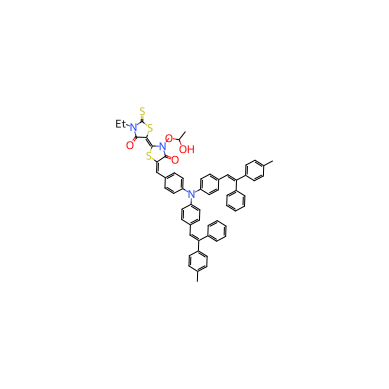 CCN1C(=O)/C(=c2\s/c(=C/c3ccc(N(c4ccc(/C=C(\c5ccccc5)c5ccc(C)cc5)cc4)c4ccc(/C=C(\c5ccccc5)c5ccc(C)cc5)cc4)cc3)c(=O)n2OC(C)O)SC1=S